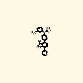 NC(=O)N(c1ccc(-c2ccc(-c3cccnc3)c3[nH]nc(N)c23)cc1)c1cccc(C(F)(F)F)c1